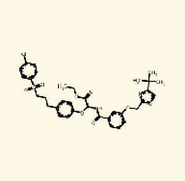 CCOC(=O)C(NC(=O)c1cccc(OCc2nc(C(C)(C)C)cs2)c1)Oc1ccc(CCCS(=O)(=O)c2ccc(Cl)cc2)cc1